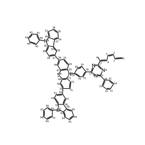 C=C/C=C\C=C(/C)c1nc(-c2ccccc2)nc(-c2ccc(N3c4ccc(-c5ccc6c(c5)c5ccccc5n6-c5ccccc5)cc4Sc4cc(-c5ccc6c(c5)c5ccccc5n6-c5ccccc5)ccc43)cc2)n1